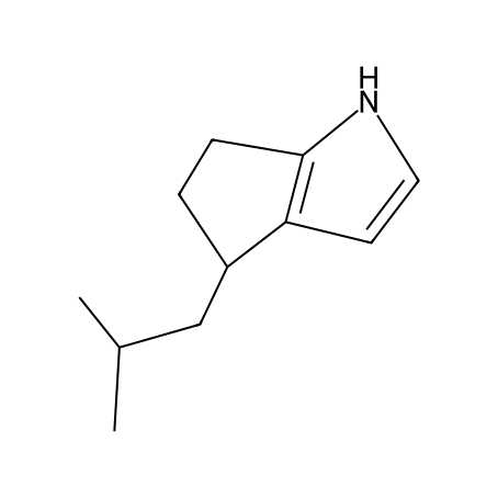 CC(C)CC1CCc2[nH]ccc21